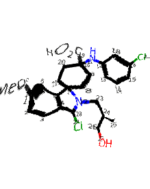 COc1ccc2c(c1)C1(CCC(Nc3cccc(Cl)c3)(C(=O)O)CC1)N(C[C@@H](C)CO)C2Cl